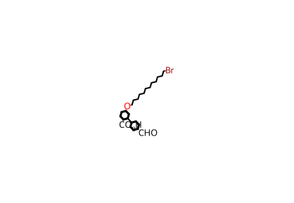 O=Cc1ccc(-c2cc(OCCCCCCCCCCCCBr)ccc2C(=O)O)cc1